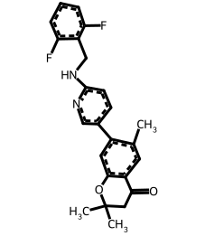 Cc1cc2c(cc1-c1ccc(NCc3c(F)cccc3F)nc1)OC(C)(C)CC2=O